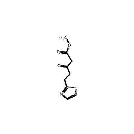 COC(=O)CC(=O)CCc1ncco1